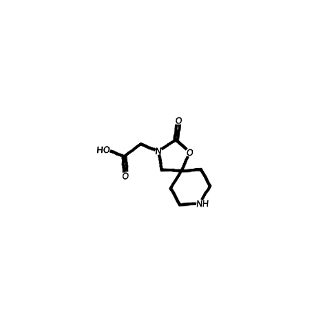 O=C(O)CN1CC2(CCNCC2)OC1=O